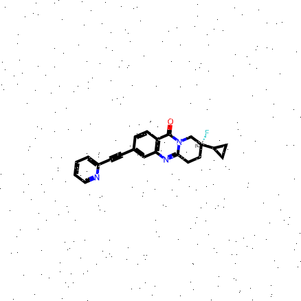 O=c1c2ccc(C#Cc3ccccn3)cc2nc2n1C[C@@](F)(C1CC1)CC2